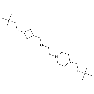 CC(C)(C)COC1CC(COCCN2CCN(COC(C)(C)C)CC2)C1